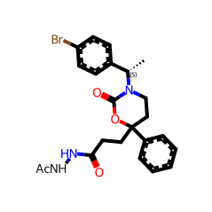 CC(=O)NNC(=O)CCC1(c2ccccc2)CCN([C@@H](C)c2ccc(Br)cc2)C(=O)O1